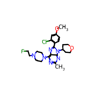 COc1ccc(-c2nc3c(N4CCN(CCF)CC4)nc(C)nc3n2C2CCOCC2)c(Cl)c1